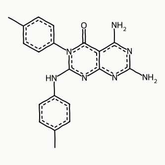 Cc1ccc(Nc2nc3nc(N)nc(N)c3c(=O)n2-c2ccc(C)cc2)cc1